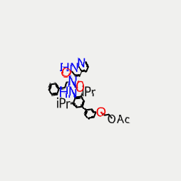 CC(=O)OCCOc1cccc(-c2cc(C(C)C)c(NC(=O)N(CCc3ccccc3)c3cc4cccnc4[nH]c3=O)c(C(C)C)c2)c1